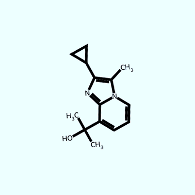 Cc1c(C2CC2)nc2c(C(C)(C)O)cccn12